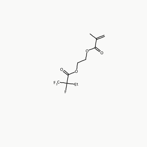 C=C(C)C(=O)OCCOC(=O)C(F)(CC)C(F)(F)F